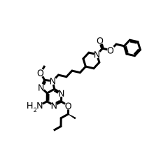 CCC[C@H](C)Oc1nc(N)c2nc(OC)n(CCCCC3CCN(C(=O)OCc4ccccc4)CC3)c2n1